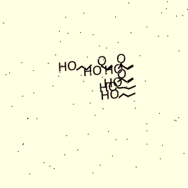 C=CC(=O)O.C=CC(=O)O.C=CC(=O)O.CCCCO.CCCCO.CCCCO